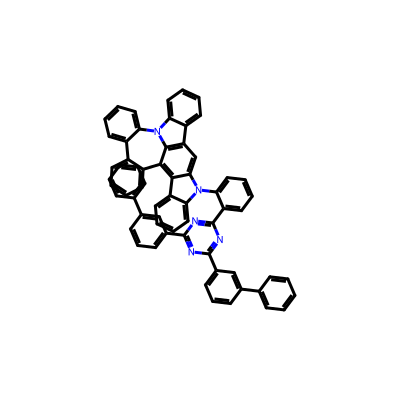 c1ccc(-c2cccc(-c3nc(-c4cccc(-c5ccccc5)c4)nc(-c4ccccc4-n4c5ccccc5c5c6c7c(cc54)c4ccccc4n7-c4ccccc4-c4ccccc4-6)n3)c2)cc1